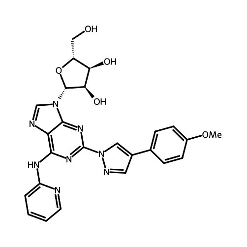 COc1ccc(-c2cnn(-c3nc(Nc4ccccn4)c4ncn([C@@H]5O[C@H](CO)[C@@H](O)[C@H]5O)c4n3)c2)cc1